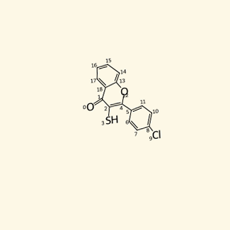 O=c1c(S)c(-c2ccc(Cl)cc2)oc2ccccc12